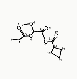 CCC(=O)OC(OC)C(=O)OC(=O)C1CCC1